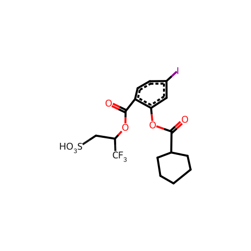 O=C(OC(CS(=O)(=O)O)C(F)(F)F)c1ccc(I)cc1OC(=O)C1CCCCC1